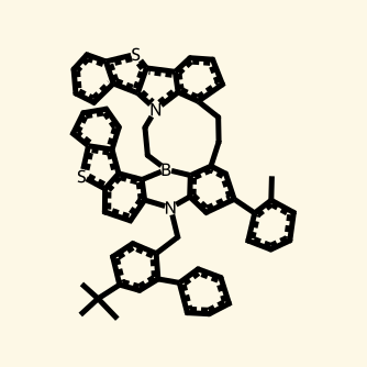 Cc1ccccc1-c1cc2c3c(c1)N(Cc1ccc(C(C)(C)C)cc1-c1ccccc1)c1ccc4sc5ccccc5c4c1B3CCn1c3c(cccc3c3sc4ccccc4c31)CC2